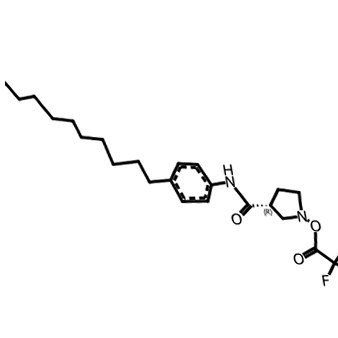 CCCCCCCCCCc1ccc(NC(=O)[C@@H]2CCN(OC(=O)C(F)(F)F)C2)cc1